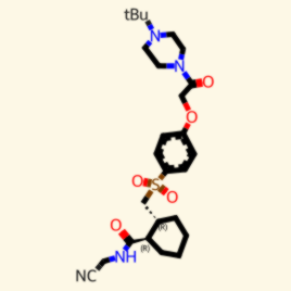 CC(C)(C)N1CCN(C(=O)COc2ccc(S(=O)(=O)C[C@@H]3CCCC[C@H]3C(=O)NCC#N)cc2)CC1